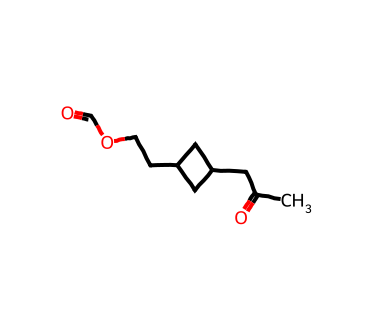 CC(=O)CC1CC(CCOC=O)C1